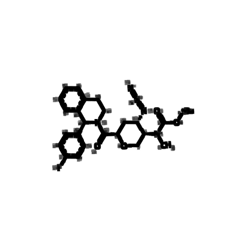 CN(C(=O)OC(C)(C)C)[C@H]1CO[C@@H](C(=O)N2CCc3ccccc3[C@@H]2c2ccc(F)cc2)C[C@@H]1N=[N+]=[N-]